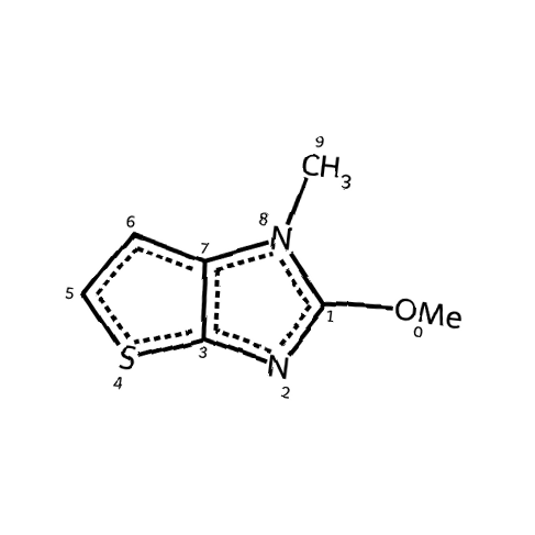 COc1nc2sccc2n1C